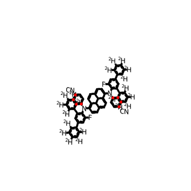 [2H]c1c([2H])c([2H])c(-c2cc(F)c(N(C3=CC=C4C=CC5=C(N(c6ccc([N+]#[C-])cc6)c6c(F)cc(-c7c([2H])c([2H])c([2H])c([2H])c7[2H])cc6-c6c([2H])c([2H])c([2H])c([2H])c6[2H])C=CC6=CC=C3C4C65)c3ccc(C#N)cc3)c(-c3c([2H])c([2H])c([2H])c([2H])c3[2H])c2)c([2H])c1[2H]